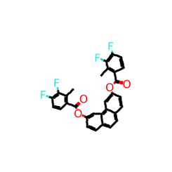 Cc1c(C(=O)Oc2ccc3ccc4ccc(OC(=O)c5ccc(F)c(F)c5C)cc4c3c2)ccc(F)c1F